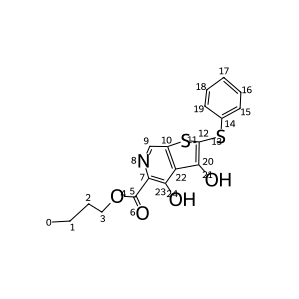 CCCCOC(=O)c1ncc2sc(Sc3ccccc3)c(O)c2c1O